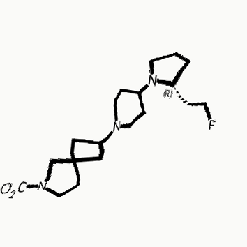 CCOC(=O)N1CCC2(CC(N3CCC(N4CCC[C@@H]4CCF)CC3)C2)C1